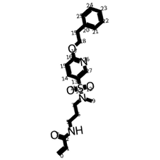 C=CC(=O)NCCCN(C)S(=O)(=O)c1ccc(OCCc2ccccc2)nc1